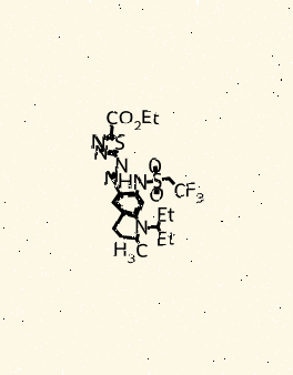 CCOC(=O)c1nnc(N=Nc2cc3c(cc2NS(=O)(=O)CC(F)(F)F)N(C(CC)CC)C(C)CC3)s1